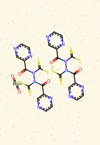 O=C(c1cnccn1)N(C(=S)[S-])N(C(=O)c1cnccn1)C(=S)S.O=C(c1cnccn1)N(C(=S)[S-])N(C(=O)c1cnccn1)C(=S)S.[O]=[Mo+2]=[O]